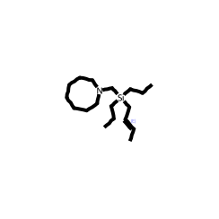 C/C=C/C[Si](CCC)(CCC)CN1CCCCCCC1